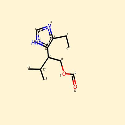 CCc1nc[nH]c1C(COC=O)C(C)C